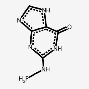 O=c1[nH]c(NP)nc2nc[nH]c12